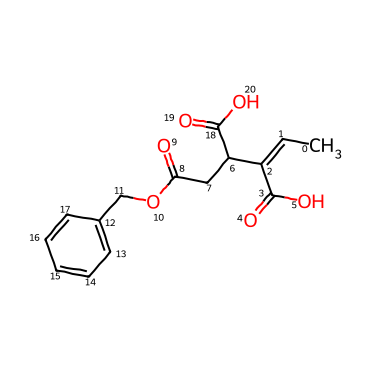 CC=C(C(=O)O)C(CC(=O)OCc1ccccc1)C(=O)O